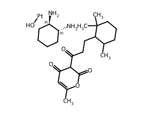 CC1=CC(=O)C(C(=O)CCC2C(C)CCCC2(C)C)C(=O)O1.N[C@@H]1CCCC[C@H]1N.[OH][Pt]